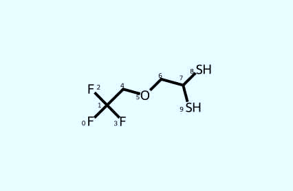 FC(F)(F)COCC(S)S